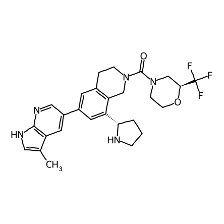 Cc1c[nH]c2ncc(-c3cc4c(c([C@@H]5CCCN5)c3)CN(C(=O)N3CCO[C@H](C(F)(F)F)C3)CC4)cc12